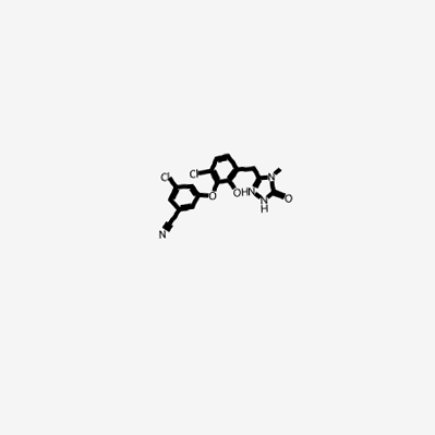 Cn1c(Cc2ccc(Cl)c(Oc3cc(Cl)cc(C#N)c3)c2O)n[nH]c1=O